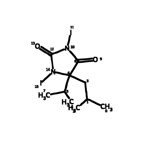 CC(C)CC1(C(C)C)C(=O)N(I)C(=O)N1I